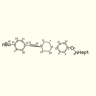 CCCCCCCOc1ccc([C@H]2CC[C@H](C#Cc3ccc(CCCC)cc3)CC2)cc1